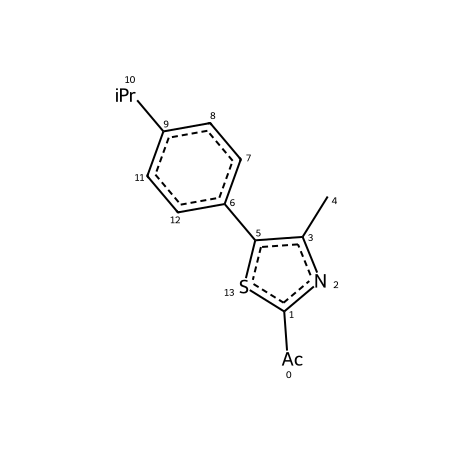 CC(=O)c1nc(C)c(-c2ccc(C(C)C)cc2)s1